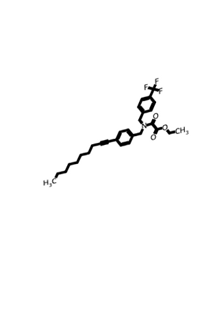 CCCCCCCCC#Cc1ccc(CN(Cc2ccc(C(F)(F)F)cc2)C(=O)C(=O)OCC)cc1